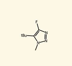 Cn1nnc(F)c1C(C)(C)C